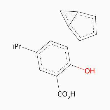 CC(C)c1ccc(O)c(C(=O)O)c1.c1cc2cc-2c1